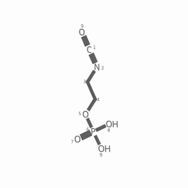 O=C=NCCOP(=O)(O)O